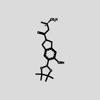 COc1cc2c(cc1B1OC(C)(C)C(C)(C)O1)CN(C(=O)C[C@H](C)C(=O)O)C2